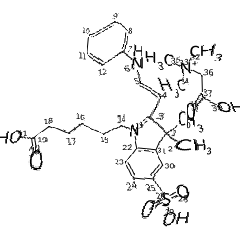 CC1(C)C(/C=C/Nc2ccccc2)=[N+](CCCCCC(=O)O)c2ccc(S(=O)(=O)O)cc21.C[N+](C)(C)CC(=O)O